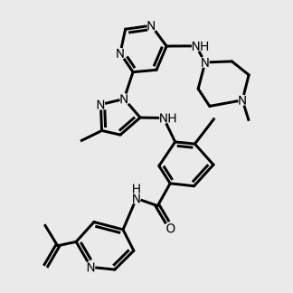 C=C(C)c1cc(NC(=O)c2ccc(C)c(Nc3cc(C)nn3-c3cc(NN4CCN(C)CC4)ncn3)c2)ccn1